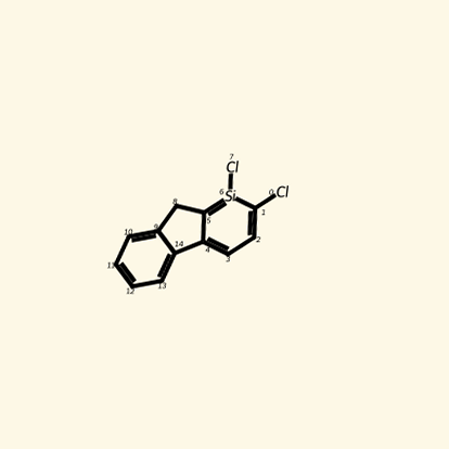 Clc1ccc2c([si]1Cl)Cc1ccccc1-2